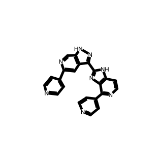 c1cc(-c2cc3c(-c4nc5c(-c6ccncc6)nccc5[nH]4)n[nH]c3cn2)ccn1